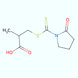 CC(CSC(=S)N1CCCC1=O)C(=O)O